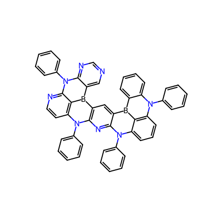 c1ccc(N2c3ccccc3B3c4cc5c(nc4N(c4ccccc4)c4cccc2c43)N(c2ccccc2)c2ccnc3c2B5c2cncnc2N3c2ccccc2)cc1